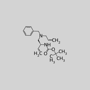 C=CCN(Cc1ccccc1)C[C@H](C=C)NC(=O)OC(C)(C)C